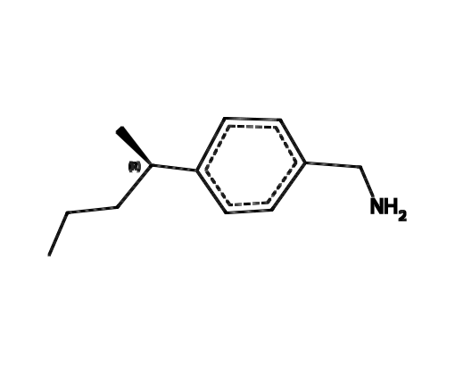 CCC[C@@H](C)c1ccc(CN)cc1